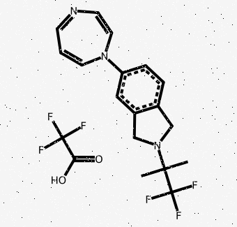 CC(C)(N1Cc2ccc(N3C=CC=NC=C3)cc2C1)C(F)(F)F.O=C(O)C(F)(F)F